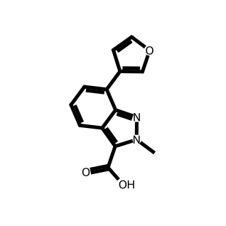 Cn1nc2c(-c3ccoc3)cccc2c1C(=O)O